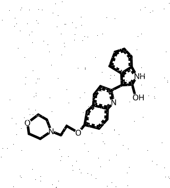 Oc1[nH]c2ccccc2c1-c1ccc2cc(OCCN3CCOCC3)ccc2n1